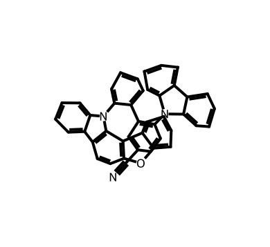 N#Cc1ccc(-n2c3ccccc3c3ccccc32)c(-c2ccccc2-n2c3ccccc3c3ccc4oc5ccccc5c4c32)c1